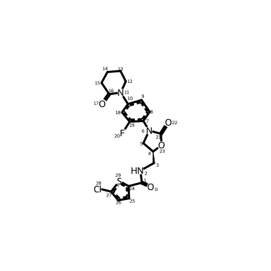 O=C(NC[C@H]1CN(c2ccc(N3CCCCC3=O)cc2F)C(=O)O1)c1ccc(Cl)s1